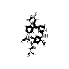 C=CC(=O)Nc1cc(Nc2nccc(-c3c4n(c5ccccc35)CCN(C)C4)n2)c(OC)cc1N(C)CCN(C)C